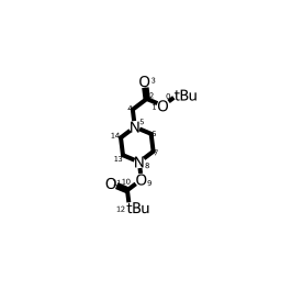 CC(C)(C)OC(=O)CN1CCN(OC(=O)C(C)(C)C)CC1